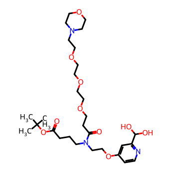 CC(C)(C)OC(=O)CCCN(CCOc1ccnc(C(O)O)c1)C(=O)CCOCCOCCOCCN1CCOCC1